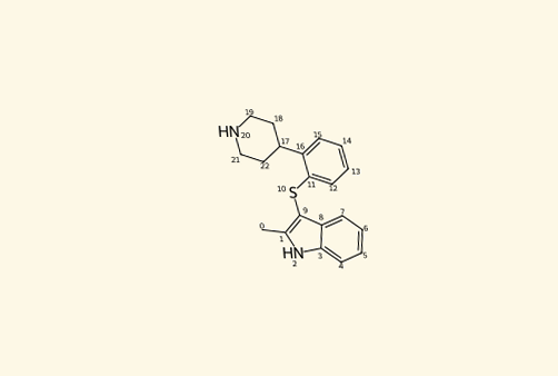 Cc1[nH]c2ccccc2c1Sc1ccccc1C1CCNCC1